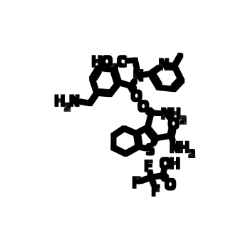 Cc1cccc(N(CC(=O)O)C(=O)c2cccc(CN)c2)n1.NC(=O)c1sc2c(c1C(N)=O)CCCC2.O=C(O)C(F)(F)F